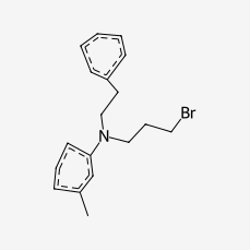 Cc1cccc(N(CCCBr)CCc2ccccc2)c1